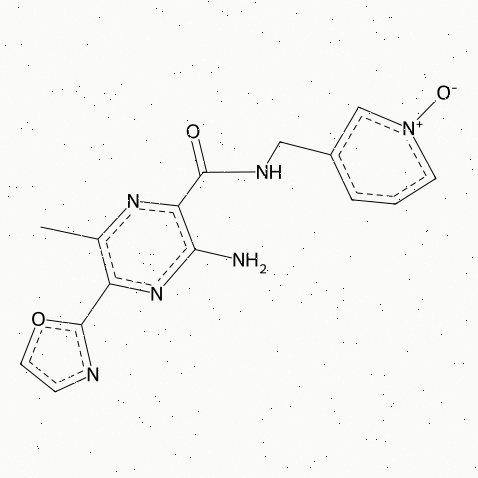 Cc1nc(C(=O)NCc2ccc[n+]([O-])c2)c(N)nc1-c1ncco1